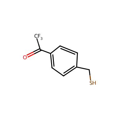 O=C(c1ccc(CS)cc1)C(F)(F)F